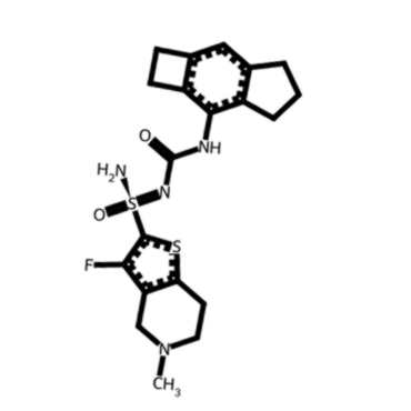 CN1CCc2sc([S@](N)(=O)=NC(=O)Nc3c4c(cc5c3CC5)CCC4)c(F)c2C1